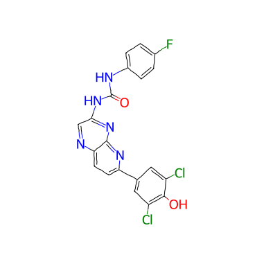 O=C(Nc1ccc(F)cc1)Nc1cnc2ccc(-c3cc(Cl)c(O)c(Cl)c3)nc2n1